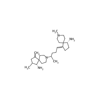 C=C1CC(C)[C@@H](N)C12CCN(C(C)CC/C=C1\CC[C@@H](N)C13CCN(C)CC3)CC2